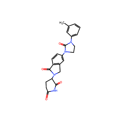 Cc1cccc(N2CCN(c3ccc4c(c3)CN(C3CCC(=O)NC3=O)C4=O)C2=O)c1